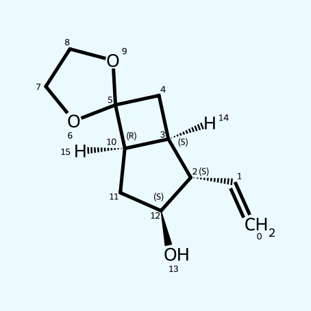 C=C[C@H]1[C@@H]2CC3(OCCO3)[C@@H]2C[C@@H]1O